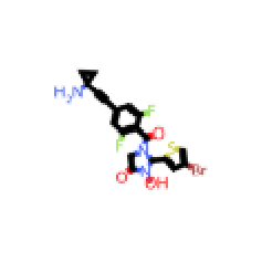 NC1(C#Cc2cc(F)c(C(=O)N3CC(=O)N(O)C3c3cc(Br)cs3)c(F)c2)CC1